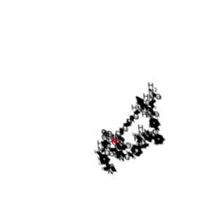 Cc1ncsc1-c1ccc([C@H](C)NC(=O)[C@@H]2C[C@@H](OP(=O)(OC(C)(C)C)OC(C)(C)C)CN2C(=O)[C@@H](c2cc(OCCN3CCC(N4CCN5c6cc(-c7ccccc7OCc7ccc(NC(=O)[C@H](CCCNC(N)=O)NC(=O)C8(C(=O)NCCOCCOCCOCCOCCN9C(=O)C=CC9=O)CCC8)cc7)nnc6N[C@@H](C)[C@@H]5C4)CC3)no2)C(C)C)cc1